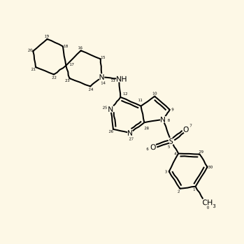 Cc1ccc(S(=O)(=O)n2ccc3c(NN4CCC5(CCCCC5)CC4)ncnc32)cc1